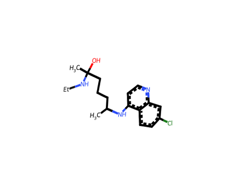 CCNC(C)(O)CCCC(C)Nc1ccnc2cc(Cl)ccc12